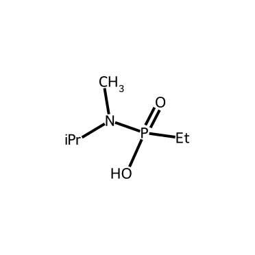 CCP(=O)(O)N(C)C(C)C